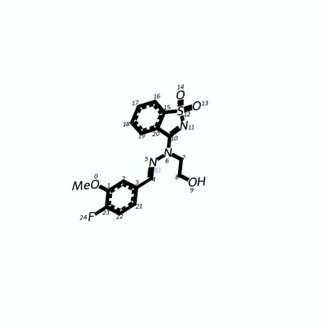 COc1cc(/C=N/N(CCO)C2=NS(=O)(=O)c3ccccc32)ccc1F